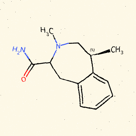 C[C@@H]1CN(C)C(C(N)=O)Cc2cc[c]cc21